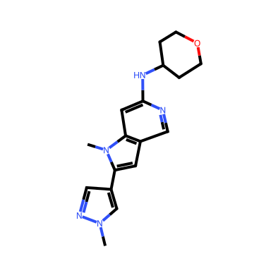 Cn1cc(-c2cc3cnc(NC4CCOCC4)cc3n2C)cn1